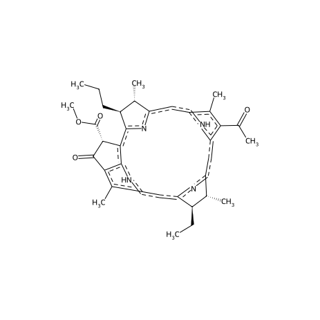 CCC[C@@H]1c2nc(cc3[nH]c(cc4nc(cc5[nH]c6c(c5C)C(=O)[C@H](C(=O)OC)c26)[C@H](CC)[C@H]4C)c(C(C)=O)c3C)[C@H]1C